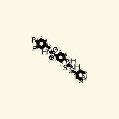 O=S(=O)(NCc1ccc(F)c(F)c1)c1ccc(NC(=S)NCc2ccncc2)cc1